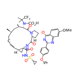 COc1ccc2c(O[C@@H]3C[C@H]4C(=O)N[C@]5(C(=O)NS(=O)(=O)C6CC6)C[C@H]5C=CCC[C@@H](C)C[C@@H](C)[C@H](N(C(=O)O)C(C)(C)C(F)(F)F)C(=O)N4C3)nc(-c3ccc(OC(C)C)cc3)nc2c1